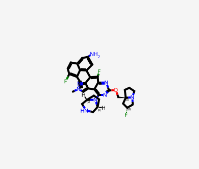 C#Cc1c(F)ccc2cc(N)cc(-c3c(F)c4nc(OC[C@@]56CCCN5C[C@H](F)C6)nc(N5[C@@H]6CC[C@H]5CNC6)c4c4cn(C)nc34)c12